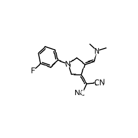 CN(C)C=C1CN(c2cccc(F)c2)CC1=C(C#N)C#N